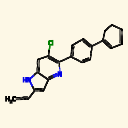 C=Cc1cc2nc(-c3ccc(C4=CC=CCC4)cc3)c(Cl)cc2[nH]1